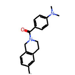 [CH2]c1ccc2c(c1)CCN(C(=O)c1ccc(N(C)C)cc1)C2